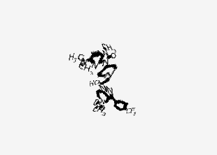 CN(C)c1ccc2c(n1)n(C1CCN(C[C@H](O)n3nc(-c4ccc(C(F)(F)F)cc4)c4c3CCN(S(C)(=O)=O)C4)CC1)c(=O)n2C